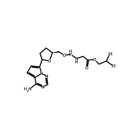 CCC(CC)COC(=O)CNPOC[C@@H]1CCC(c2ccc3c(N)ncnn23)O1